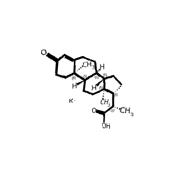 C[C@H](C(=O)O)[C@H]1CC[C@H]2[C@@H]3CCC4=CC(=O)CC[C@]4(C)[C@H]3CC[C@]12C.[K]